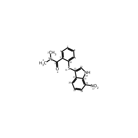 CN(C)C(=O)c1ccccc1Sc1c[nH]c2c([N+](=O)[O-])cccc12